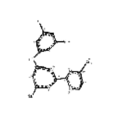 Nc1nc(Nc2cc(F)cc(F)c2)nc(-c2nccc(C(F)(F)F)n2)n1